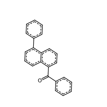 O=C(c1ccccc1)c1cccc2c(-c3ccccc3)cccc12